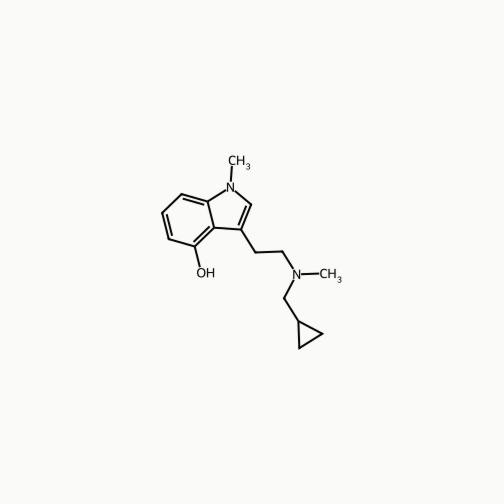 CN(CCc1cn(C)c2cccc(O)c12)CC1CC1